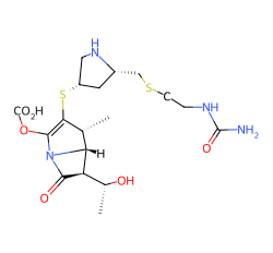 C[C@@H](O)[C@H]1C(=O)N2C(OC(=O)O)=C(S[C@@H]3CN[C@H](CSCCNC(N)=O)C3)[C@H](C)[C@H]12